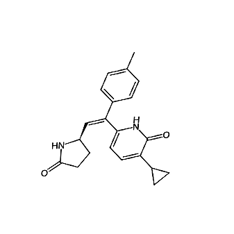 Cc1ccc(C(=C[C@H]2CCC(=O)N2)c2ccc(C3CC3)c(=O)[nH]2)cc1